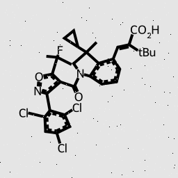 CC(C)(C)/C(=C\c1cccc2c1C(C)(C1CC1)CN2C(=O)c1c(-c2c(Cl)cc(Cl)cc2Cl)noc1C(C)(C)F)C(=O)O